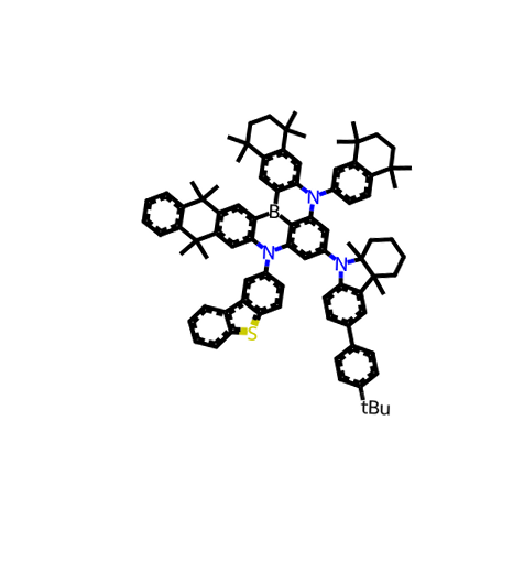 CC(C)(C)c1ccc(-c2ccc3c(c2)C2(C)CCCCC2(C)N3c2cc3c4c(c2)N(c2ccc5sc6ccccc6c5c2)c2cc5c(cc2B4c2cc4c(cc2N3c2ccc3c(c2)C(C)(C)CCC3(C)C)C(C)(C)CCC4(C)C)C(C)(C)c2ccccc2C5(C)C)cc1